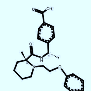 C[C@H](NC(=O)[C@@]1(C)CCCCN1CCOc1ccccc1)c1ccc(C(=O)O)cc1